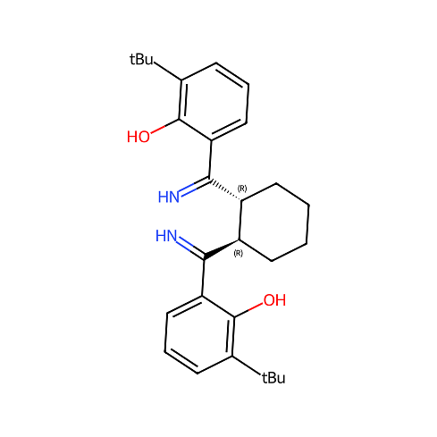 CC(C)(C)c1cccc(C(=N)[C@@H]2CCCC[C@H]2C(=N)c2cccc(C(C)(C)C)c2O)c1O